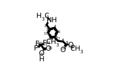 CNCc1ccc(CCC(=O)OC)c(C)c1.O=C(O)C(F)(F)F